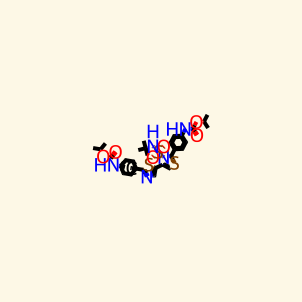 CC(C)OC(=O)Nc1ccc(C2SC=C(c3cnc(C45CCC(NC(=O)OC(C)C)(CC4)CC5)s3)N2S(=O)(=O)NC(C)(C)C)cc1